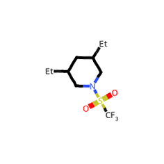 CCC1CC(CC)CN(S(=O)(=O)C(F)(F)F)C1